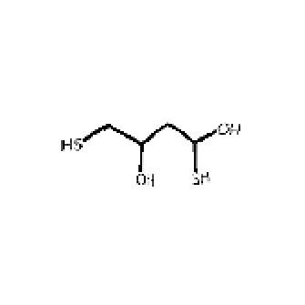 OC(S)CC(O)CS